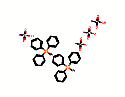 CC(C)[P+](c1ccccc1)(c1ccccc1)c1ccccc1.CC(C)[P+](c1ccccc1)(c1ccccc1)c1ccccc1.[O]=[Mn](=[O])([O-])[I].[O]=[Mn](=[O])([O-])[I].[O]=[Mn](=[O])([OH])[I].[O]=[Mn](=[O])([OH])[I]